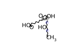 CCC/C=C/C(O)C/C=C/[C@H]1[C@H](O)CC(=O)[C@@H]1CCCCCCC(=O)O